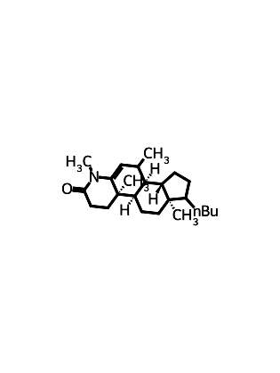 CCCCC1CC[C@H]2[C@@H]3C(C)C=C4N(C)C(=O)CC[C@]4(C)[C@@H]3CC[C@]12C